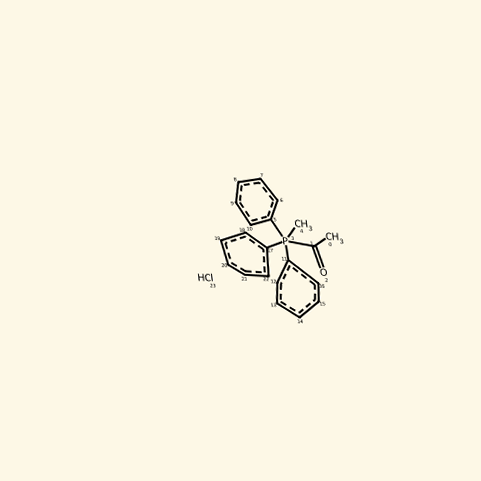 CC(=O)P(C)(c1ccccc1)(c1ccccc1)c1ccccc1.Cl